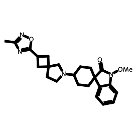 CON1C(=O)C2(CCC(N3CCC4(CC(c5nc(C)no5)C4)C3)CC2)c2ccccc21